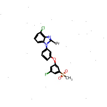 CC(C)c1nc2c(Cl)cccc2n1-c1cccc(Oc2cc(F)cc(S(C)(=O)=O)c2)c1